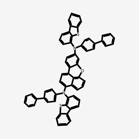 c1ccc(-c2ccc(N(c3ccc4c(c3)Oc3cccc5c(N(c6ccc(-c7ccccc7)cc6)c6cccc7c6sc6ccccc67)ccc-4c35)c3cccc4c3sc3ccccc34)cc2)cc1